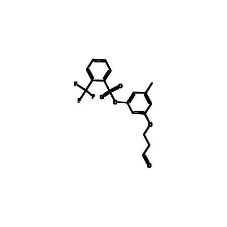 Cc1cc(OCCC=O)cc(OS(=O)(=O)c2ccccc2C(F)(F)F)c1